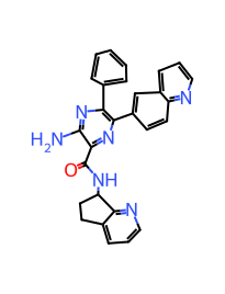 Nc1nc(-c2ccccc2)c(-c2ccc3ncccc3c2)nc1C(=O)NC1CCc2cccnc21